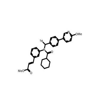 [2H]C(c1ccc(-c2ccc(OC)nc2)cc1)N(C(=O)C1CCCCC1)c1cccc(/C=C/C(=O)OC)c1